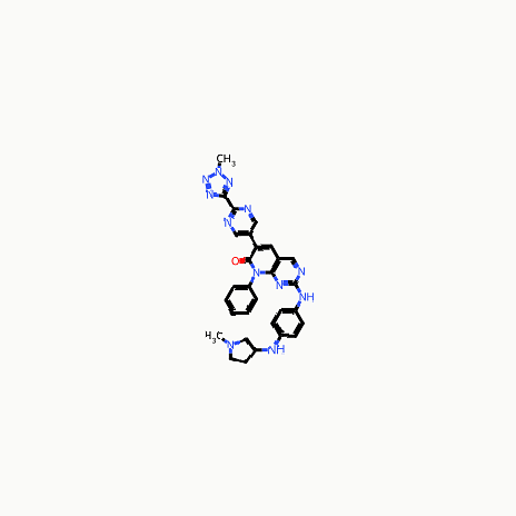 CN1CCC(Nc2ccc(Nc3ncc4cc(-c5cnc(-c6nnn(C)n6)nc5)c(=O)n(-c5ccccc5)c4n3)cc2)C1